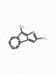 CC1=NC2=C(C)c3ccccc3C2=C1